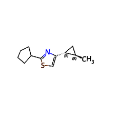 C[C@@H]1C[C@H]1c1csc(C2CCCC2)n1